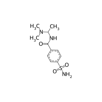 CC(NC(=O)c1ccc(S(N)(=O)=O)cc1)N(C)C